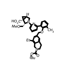 CCc1cc(COc2c(C)cccc2-c2cccc(N3C[C@@H]4C[C@]4(C(=O)O)[C@H]3COC)n2)cc2c1CN(C(=O)OC(C)(C)C)CC2